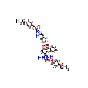 COc1ccc(COC(=O)NCC=Cc2ccc(COc3ccc(C(=N)NC(=O)OCc4ccc(OC)cc4)cc3C(=O)c3ccccc3)cc2)cc1